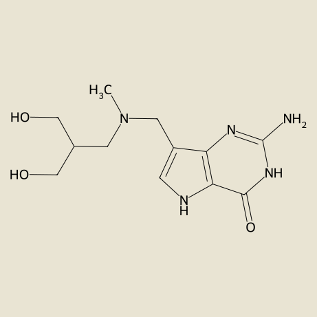 CN(Cc1c[nH]c2c(=O)[nH]c(N)nc12)CC(CO)CO